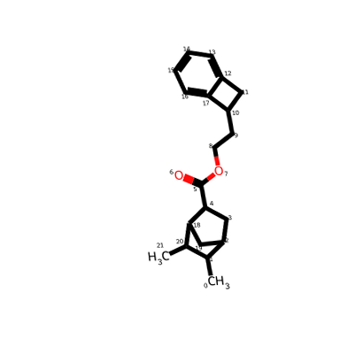 CC1C2CC(C(=O)OCCC3Cc4ccccc43)C(C2)C1C